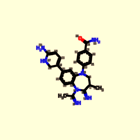 CC(=N)N1C(=N)C(C)CN(c2ccc(C(N)=O)cc2)c2cc(C3=CC=C(N)NC3)ccc21